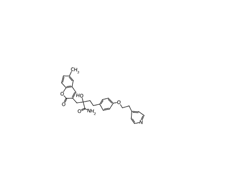 Cc1ccc2oc(=O)c(CC(O)(CCc3ccc(OCCc4ccncc4)cc3)C(N)=O)cc2c1